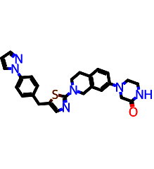 O=C1CN(c2ccc3c(c2)CN(c2ncc(Cc4ccc(-n5cccn5)cc4)s2)CC3)CCN1